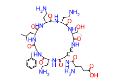 CC(C)C[C@@H]1NC(=O)[C@@H](Cc2ccccc2)NC(=O)[C@H](CCN)NC(=O)[C@@H](NC(=O)[C@@H](N)CCC(=O)O)CCNC(=O)[C@H]([C@@H](C)O)NC(=O)[C@H](CCN)NC(=O)[C@H](CCN)NC1=O